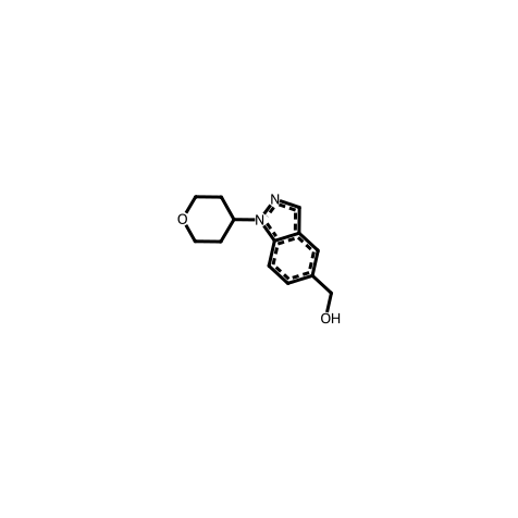 OCc1ccc2c(cnn2C2CCOCC2)c1